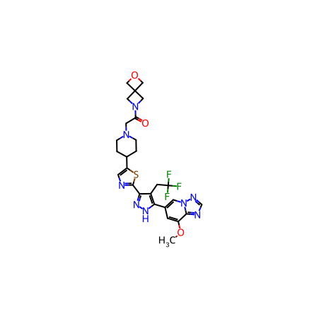 COc1cc(-c2[nH]nc(-c3ncc(C4CCN(CC(=O)N5CC6(COC6)C5)CC4)s3)c2CC(F)(F)F)cn2ncnc12